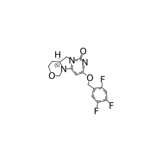 O=c1nc(OCc2cc(F)c(F)cc2F)cc2n1C[C@@H]1CCOCN21